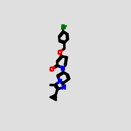 Cc1c(C2CC2)nc2ccc(-n3ccc(OCc4ccc(Br)cc4)cc3=O)cn12